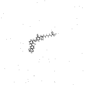 COC(=O)CCCCCCNCc1ccc(OCc2cccc(-c3ccc4c(c3)OCCO4)c2C)cc1F